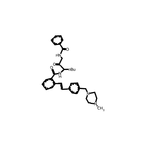 CCCCC(NC(=O)c1ccccc1C=Cc1ccc(CN2CCN(C)CC2)cc1)C(=O)CNC(=O)c1ccccc1